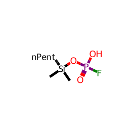 CCCCC[Si](C)(C)OP(=O)(O)F